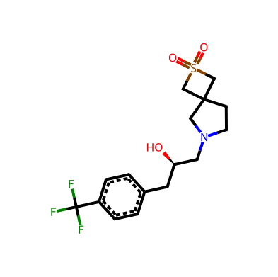 O=S1(=O)CC2(CCN(C[C@H](O)Cc3ccc(C(F)(F)F)cc3)C2)C1